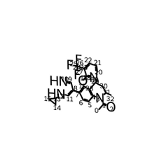 CC(=O)N1c2ccc(/C(C=N)=C/NC3CC3)c(Oc3ncccc3C(F)(F)F)c2CCC1C